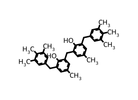 Cc1cc(Cc2cc(C)c(C)c(C)c2)c(O)c(Cc2cc(C)cc(Cc3cc(C)c(C)c(C)c3)c2O)c1